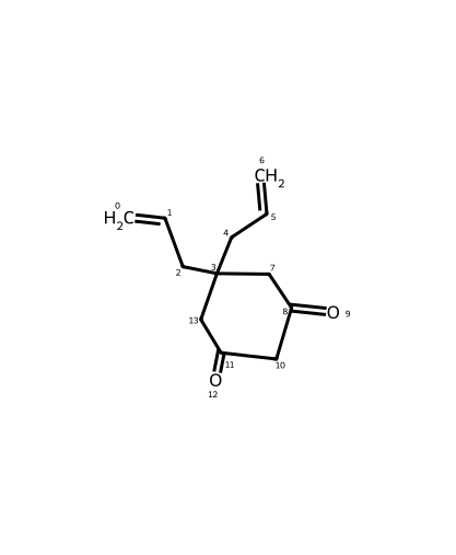 C=CCC1(CC=C)CC(=O)CC(=O)C1